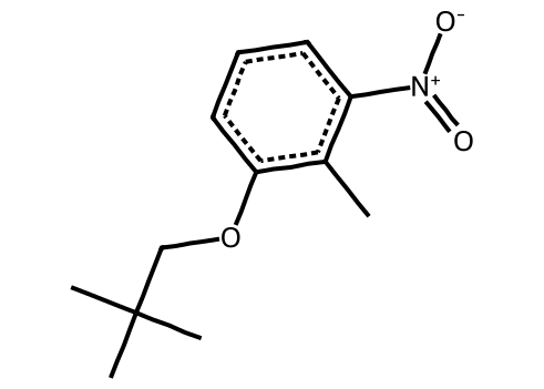 Cc1c(OCC(C)(C)C)cccc1[N+](=O)[O-]